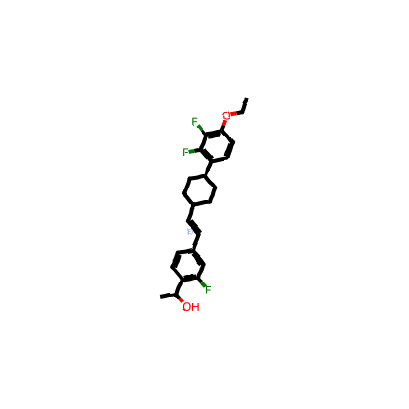 CCOc1ccc(C2CCC(/C=C/c3ccc(C(C)O)c(F)c3)CC2)c(F)c1F